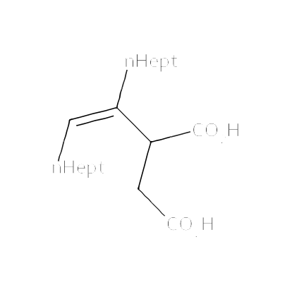 CCCCCCC/C=C(/CCCCCCC)C(CC(=O)O)C(=O)O